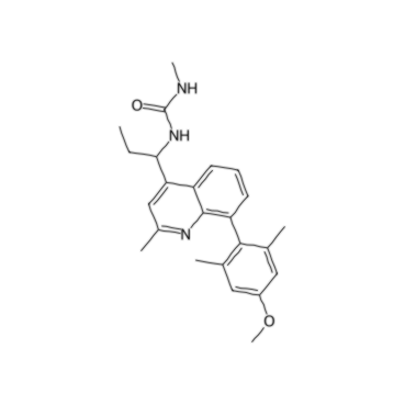 CCC(NC(=O)NC)c1cc(C)nc2c(-c3c(C)cc(OC)cc3C)cccc12